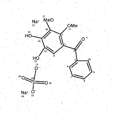 COc1c(C(=O)c2ccccc2)cc(O)c(O)c1OC.O=S(=O)([O-])[O-].[Na+].[Na+]